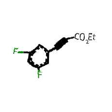 CCOC(=O)C#Cc1cc(F)cc(F)c1